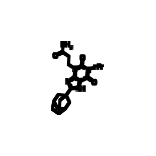 CCCn1c(=O)c2[nH]c(C34CC5CC(C3)C(C5)C4)nc2n(CCC(N)=O)c1=O